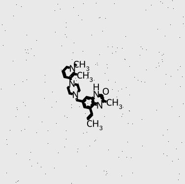 CC=Cc1cc(CN2CCN(C3=C(C)N(C)CC=C3)CC2)cc2[nH]c(=O)c(C)nc12